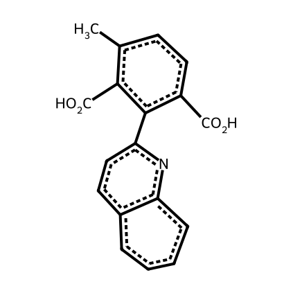 Cc1ccc(C(=O)O)c(-c2ccc3ccccc3n2)c1C(=O)O